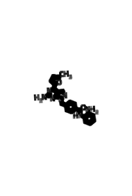 Cc1ccc(-c2nc(N)nc3c2cnn3Cc2ccc(C(=O)Nc3ccccc3N)cc2)o1